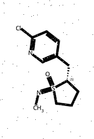 CN=S1(=O)CCC[C@H]1Cc1ccc(Cl)nc1